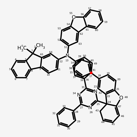 CC1(C)c2ccccc2-c2ccc(N(c3ccc(-c4ccc5c(c4)C4(c6nc(-c7ccccc7)nc(-c7ccccc7)n6)CC=CC=C4O5)cc3)c3ccc4oc5ccccc5c4c3)cc21